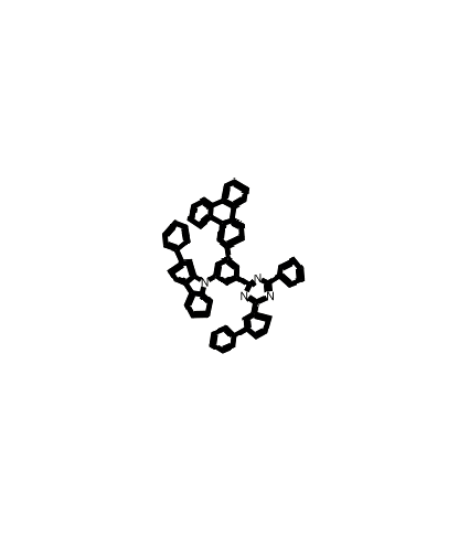 c1ccc(-c2cccc(-c3nc(-c4ccccc4)nc(-c4cc(-c5ccc6c7ccccc7c7ccccc7c6c5)cc(-n5c6ccccc6c6ccc(-c7ccccc7)cc65)c4)n3)c2)cc1